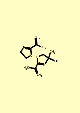 C=C(C)C1=NC(C)(C)CO1.C=C(C)C1=NCCO1